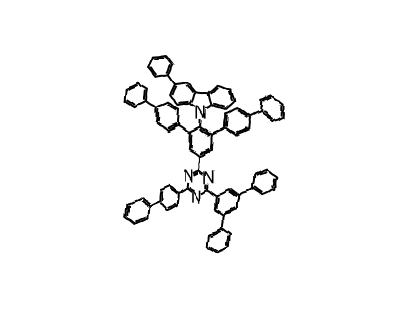 c1ccc(-c2ccc(-c3nc(-c4cc(-c5ccccc5)cc(-c5ccccc5)c4)nc(-c4cc(-c5ccc(-c6ccccc6)cc5)c(-n5c6ccccc6c6cc(-c7ccccc7)ccc65)c(-c5ccc(-c6ccccc6)cc5)c4)n3)cc2)cc1